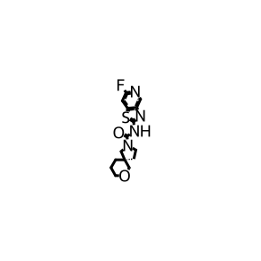 O=C(Nc1nc2cnc(F)cc2s1)N1CC[C@]2(CCCOC2)C1